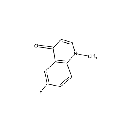 Cn1ccc(=O)c2cc(F)ccc21